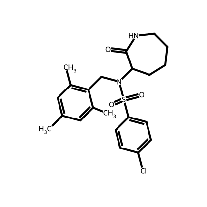 Cc1cc(C)c(CN(C2CCCCNC2=O)S(=O)(=O)c2ccc(Cl)cc2)c(C)c1